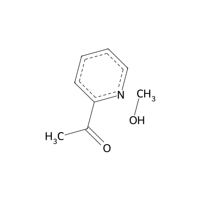 CC(=O)c1ccccn1.CO